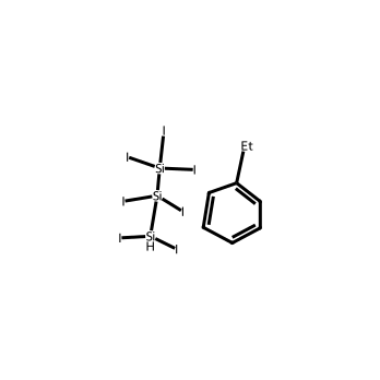 CCc1ccccc1.I[SiH](I)[Si](I)(I)[Si](I)(I)I